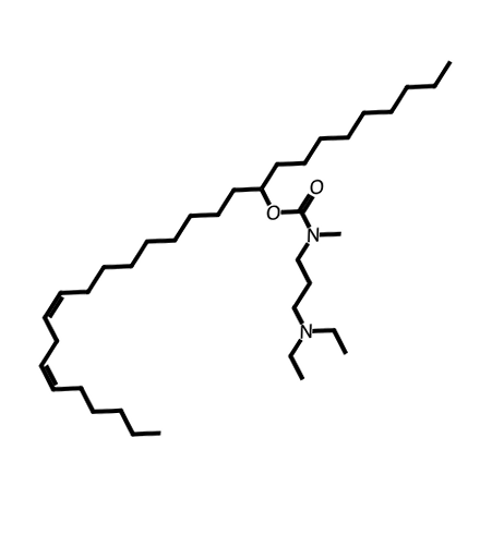 CCCCC/C=C\C/C=C\CCCCCCCCC(CCCCCCCCC)OC(=O)N(C)CCCN(CC)CC